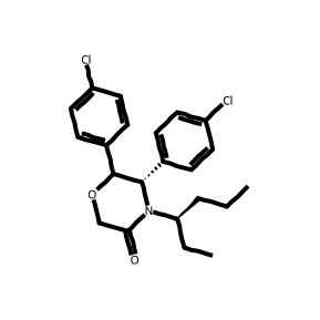 CCC[C@@H](CC)N1C(=O)COC(c2ccc(Cl)cc2)[C@@H]1c1ccc(Cl)cc1